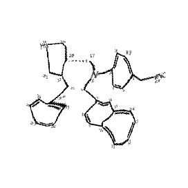 [C-]#[N+]c1ccc(N(Cc2ccc3ccccc3c2)C[C@H]2CNC[C@@H]2Cc2ccccc2)cc1